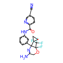 N#Cc1ccc(C(=O)Nc2cccc(C3(C4CC4)N=C(N)COC3(F)C(F)(F)F)c2)nc1